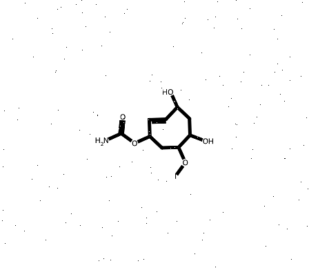 NC(=O)OC1/C=C/C(O)CC(O)C(OI)C1